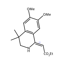 CCOC(=O)/C=C1\NCC(C)(C)c2cc(OC)c(OC)cc21